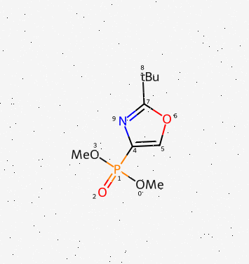 COP(=O)(OC)c1coc(C(C)(C)C)n1